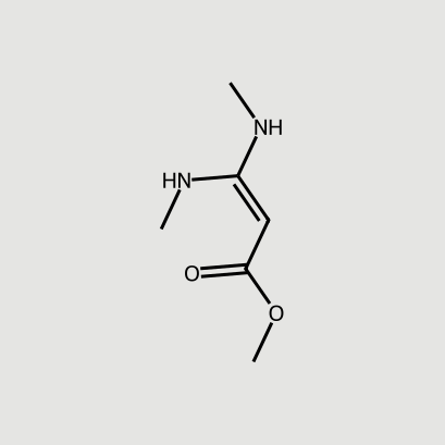 CNC(=CC(=O)OC)NC